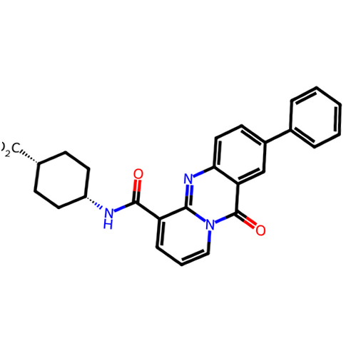 O=C(N[C@H]1CC[C@@H](C(=O)O)CC1)c1cccn2c(=O)c3cc(-c4ccccc4)ccc3nc12